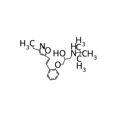 CCc1cc(C=Cc2ccccc2OCC(O)CNC(C)(C)C)on1